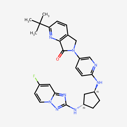 CC(C)(C)c1ccc2c(n1)C(=O)N(c1ccc(N[C@H]3CC[C@H](Nc4nc5cc(F)ccn5n4)C3)nc1)C2